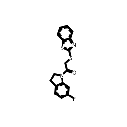 O=C(CSc1nc2ccccc2s1)N1CCc2ccc(F)cc21